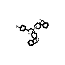 CCC(CC(N1CCC2(CC1)OCc1ccccc12)N1CCC2(CC1)OCc1ccccc12)c1ccc(F)cc1